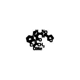 COCC(C)n1c(=O)c2c(-c3noc(C4CCOC4)n3)ncn2c2cccc(Cl)c21